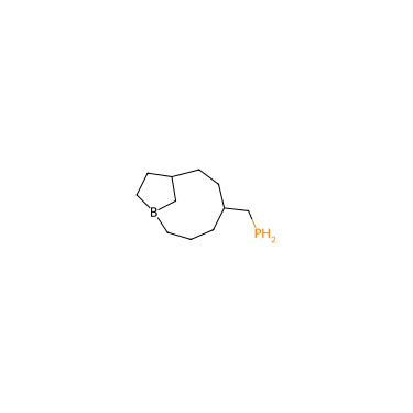 PCC1CCCB2CCC(CC1)C2